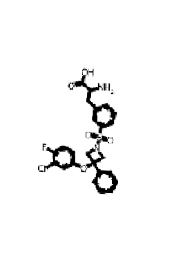 NC(Cc1cccc(S(=O)(=O)N2CC(Oc3ccc(F)c(Cl)c3)(c3ccccc3)C2)c1)C(=O)O